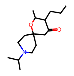 CCCC1C(=O)CC2(CCN(C(C)C)CC2)OC1C